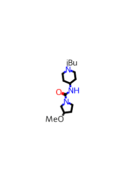 CCC(C)N1CCC(NC(=O)N2CCC(OC)C2)CC1